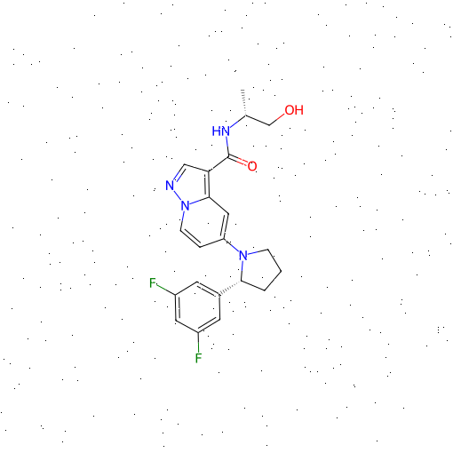 C[C@H](CO)NC(=O)c1cnn2ccc(N3CCC[C@@H]3c3cc(F)cc(F)c3)cc12